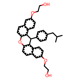 CC(C)Cc1ccc(C2c3c(ccc4cc(OCCO)ccc34)Oc3ccc4cc(OCCO)ccc4c32)cc1